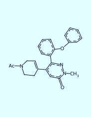 CC(=O)N1CC=C(c2cc(=O)n(C)nc2-c2ccccc2Oc2ccccc2)CC1